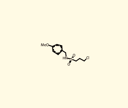 COc1ccc(CNS(=O)(=O)CCCCl)cc1